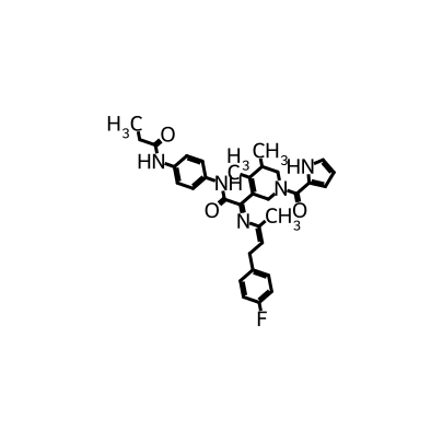 CCC(=O)Nc1ccc(NC(=O)/C(=N/C(C)=C\Cc2ccc(F)cc2)C2=C(C)C(C)CN(C(=O)c3ccc[nH]3)C2)cc1